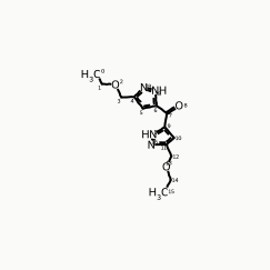 CCOCc1cc(C(=O)c2cc(COCC)n[nH]2)[nH]n1